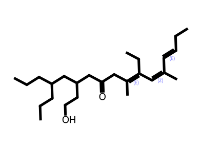 CC/C=C/C(C)=C\C(CC)=C(/C)CC(=O)CC(CCO)CC(CCC)CCC